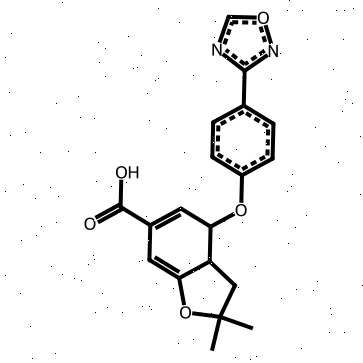 CC1(C)CC2C(=CC(C(=O)O)=CC2Oc2ccc(-c3ncon3)cc2)O1